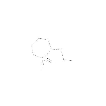 O=S1(=O)CCCCN1CCCl